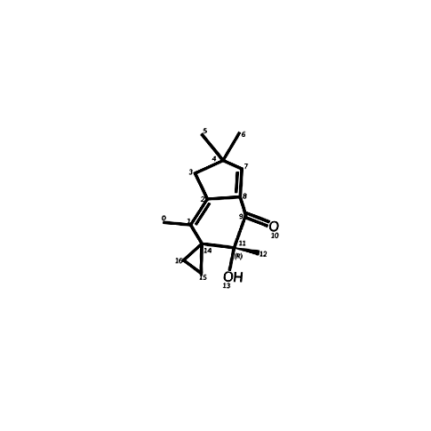 CC1=C2CC(C)(C)C=C2C(=O)[C@](C)(O)C12CC2